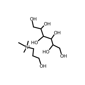 C[N+](C)(C)CCCO.OCC(O)C(O)C(O)C(O)CO